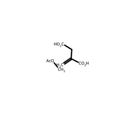 C=C(CC(=O)O)C(=O)O.COC(C)=O